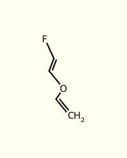 C=COC=CF